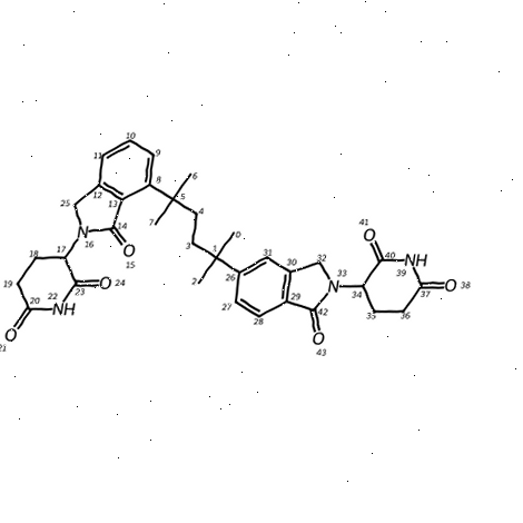 CC(C)(CCC(C)(C)c1cccc2c1C(=O)N(C1CCC(=O)NC1=O)C2)c1ccc2c(c1)CN(C1CCC(=O)NC1=O)C2=O